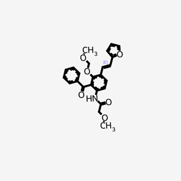 COCOc1c(/C=C/c2ccco2)ccc(NC(=O)COC)c1C(=O)c1ccccc1